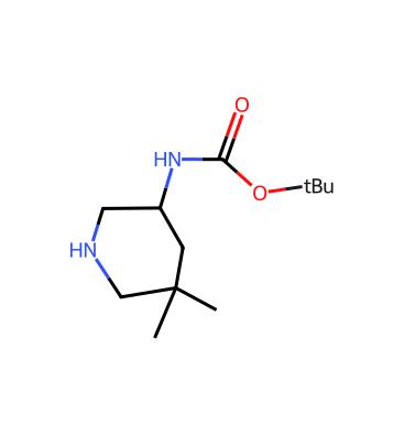 CC1(C)CNCC(NC(=O)OC(C)(C)C)C1